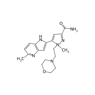 Cc1ccc2[nH]c(C3=CC(C(N)=O)=N[N+]3(C)CCN3CCOCC3)cc2n1